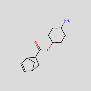 NC1CCC(OC(=O)C2CC3C=CC2C3)CC1